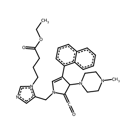 CCOC(=O)CCCn1cncc1CN1C=C(c2cccc3ccccc23)C(N2CCN(C)CC2)C1=C=O